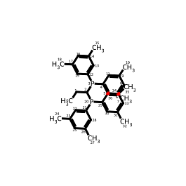 CCC(P(c1cc(C)cc(C)c1)c1cc(C)cc(C)c1)P(c1cc(C)cc(C)c1)c1cc(C)cc(C)c1